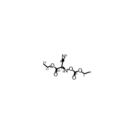 CCOC(=O)O/N=C(\C#N)C(=O)OCC